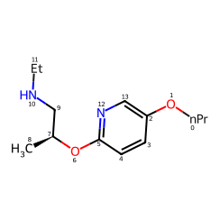 CCCOc1ccc(O[C@@H](C)CNCC)nc1